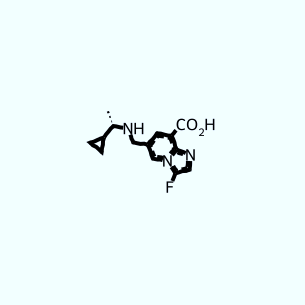 C[C@H](NCc1cc(C(=O)O)c2ncc(F)n2c1)C1CC1